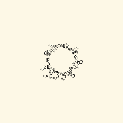 CCCC[C@H]1C(=O)N(C)[C@@H](CCCC)C(=O)N[C@@H](CCCNC(=N)N)C(=O)N[C@H](C(=O)NCC(N)=O)CSCC(=O)N[C@@H](Cc2ccccc2)C(=O)N(C)[C@@H](C)C(=O)N[C@@H](CC(N)=O)C(O)N2CCCC2C(=O)N[C@@H](C)C(=O)N[C@@H](CC(C)C)C(=O)N(C)CC(=O)NC(Cc2c[nH]c3ccccc23)C(=O)N[C@@H](CO)C(=O)N[C@@H](Cc2c[nH]c3ccccc23)C(=O)N1C